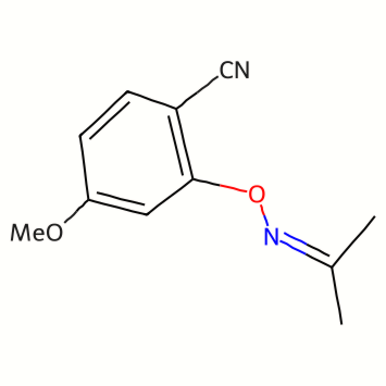 COc1ccc(C#N)c(ON=C(C)C)c1